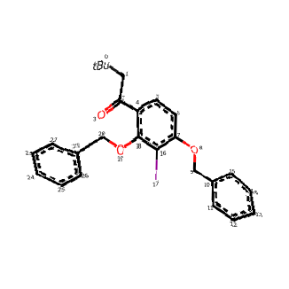 CC(C)(C)CC(=O)c1ccc(OCc2ccccc2)c(I)c1OCc1ccccc1